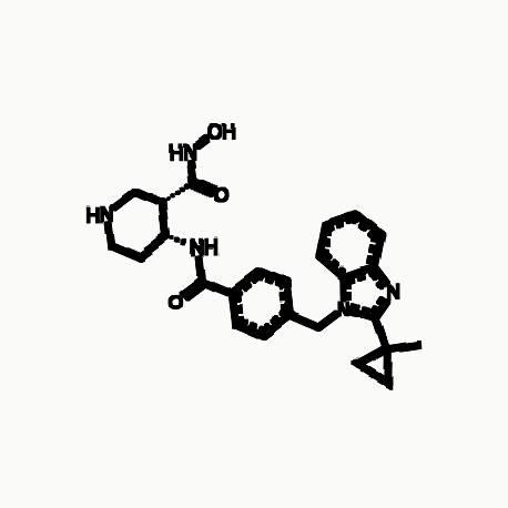 CC1(c2nc3ccccc3n2Cc2ccc(C(=O)N[C@@H]3CCNC[C@@H]3C(=O)NO)cc2)CC1